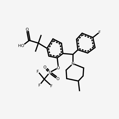 CC1CCN(C(c2ccc(F)cc2)c2ccc(C(C)(C)C(=O)O)cc2OS(=O)(=O)C(F)(F)F)CC1